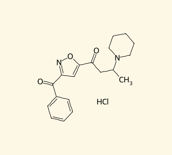 CC(CC(=O)c1cc(C(=O)c2ccccc2)no1)N1CCCCC1.Cl